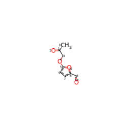 CC(=O)COc1ccc(C=O)o1